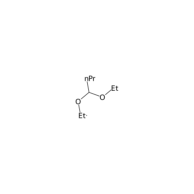 C[CH]OC(CCC)OCC